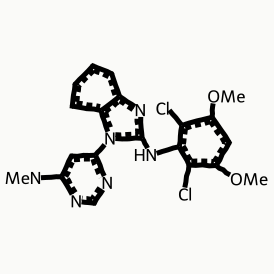 CNc1cc(-n2c(Nc3c(Cl)c(OC)cc(OC)c3Cl)nc3ccccc32)ncn1